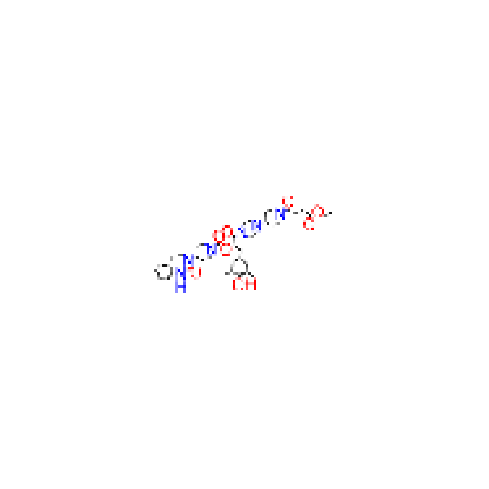 CCOC(=O)CCC(=O)N1CCC(N2CCN(C(=O)C(Cc3cc(C)c(O)c(C)c3)OC(=O)N3CCC(N4CCc5ccccc5NC4=O)CC3)CC2)CC1